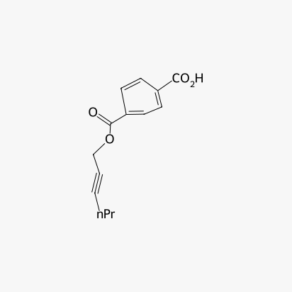 CCCC#CCOC(=O)c1ccc(C(=O)O)cc1